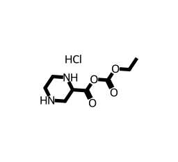 CCOC(=O)OC(=O)C1CNCCN1.Cl